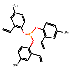 C=Cc1cc(C(C)(C)C)ccc1OP(Oc1ccc(C(C)(C)C)cc1C=C)Oc1ccc(C(C)(C)C)cc1C=C